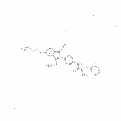 CCn1c(-c2ccc(NC(=O)N(C)Cc3ccccc3)cc2)c(C#N)c2ccc(OCCOC)cc21